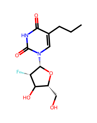 CCCc1cn([C@@H]2O[C@H](CO)C(O)[C@@H]2F)c(=O)[nH]c1=O